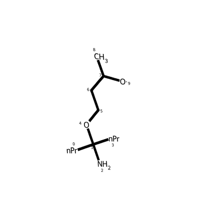 CCCC(N)(CCC)OCCC(C)[O]